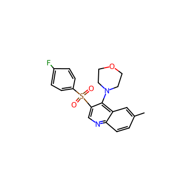 Cc1ccc2ncc(S(=O)(=O)c3ccc(F)cc3)c(N3CCOCC3)c2c1